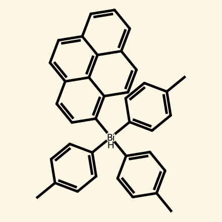 Cc1cc[c]([BiH]([c]2ccc(C)cc2)([c]2ccc(C)cc2)[c]2ccc3ccc4cccc5ccc2c3c45)cc1